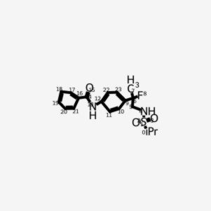 CC(C)S(=O)(=O)NCC(C)(F)c1ccc(NC(=O)c2ccccc2)cc1